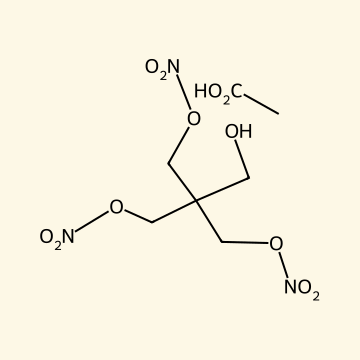 CC(=O)O.O=[N+]([O-])OCC(CO)(CO[N+](=O)[O-])CO[N+](=O)[O-]